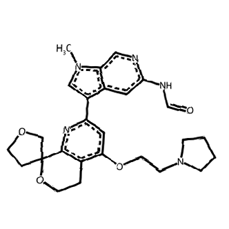 Cn1cc(-c2cc(OCCN3CCCC3)c3c(n2)C2(CCOC2)OCC3)c2cc(NC=O)ncc21